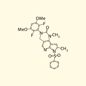 COc1cc(OC)c(F)c(N2Cc3cnc4c(cc(C)n4S(=O)(=O)c4ccccc4)c3N(C)C2=O)c1F